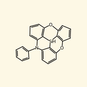 c1ccc(N2c3cccc4c3[SiH]3c5c(cccc5Oc5cccc2c53)O4)cc1